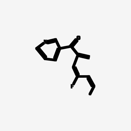 C=C(/C=C(F)\C=C/C)C(=O)c1cccnc1